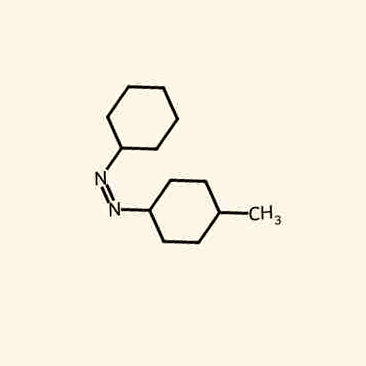 CC1CCC(/N=N\C2CCCCC2)CC1